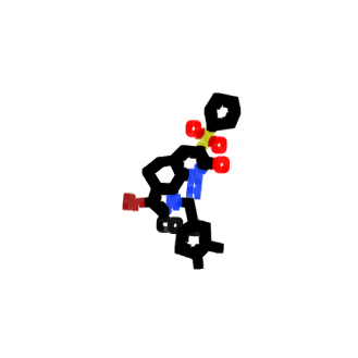 CCOC(=O)c1c(Br)c2c(n1Cc1ccc(C)c(C)c1)-c1[nH]c(=O)c(S(=O)(=O)c3ccccc3)cc1CC2